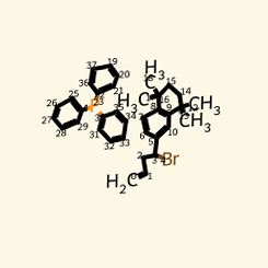 C=CCC(Br)c1ccc2c(c1)C(C)(C)CCC2(C)C.c1ccc(P(c2ccccc2)c2ccccc2)cc1